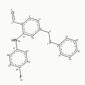 O=Cc1ccc(CSc2ccccc2)cc1Nc1ccc(F)cc1